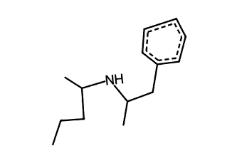 CCCC(C)NC(C)Cc1ccccc1